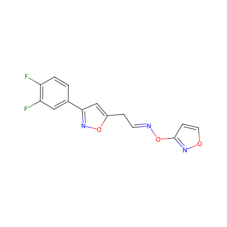 Fc1ccc(-c2cc(CC=NOc3ccon3)on2)cc1F